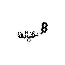 O=C(NCC1CCOC1)C1=NOC(COCc2ccc3ccccc3c2)C1